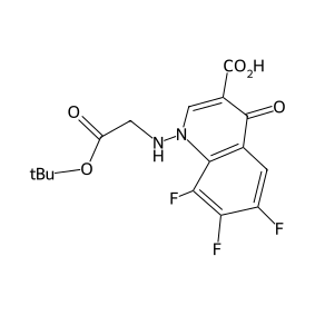 CC(C)(C)OC(=O)CNn1cc(C(=O)O)c(=O)c2cc(F)c(F)c(F)c21